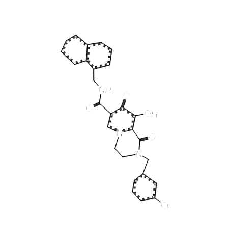 O=C(NCc1cccc2ccccc12)c1cn2c(c(O)c1=O)C(=O)N(Cc1cccc(Cl)c1)CC2